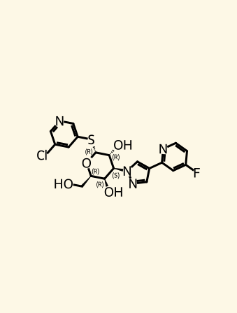 OC[C@H]1O[C@H](Sc2cncc(Cl)c2)[C@H](O)[C@@H](n2cc(-c3cc(F)ccn3)cn2)[C@H]1O